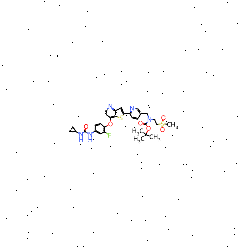 CC(C)(C)OC(=O)N(CCS(C)(=O)=O)Cc1ccc(-c2cc3nccc(Oc4ccc(NC(=O)NC5CC5)cc4F)c3s2)nc1